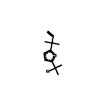 C=CC(C)(C)c1ccc(C(C)(C)CC)s1